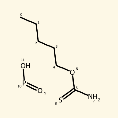 CCCCCOC(N)=S.O=PO